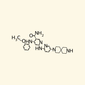 CCOc1ccccc1Nc1cc(Nc2ccc(N3CCC4(CCNCC4)CC3)cn2)ncc1C(N)=O